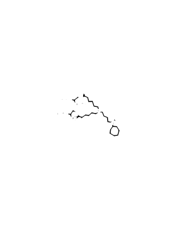 CCCCCCCCC(CCCCCC)COC(=O)CCCCCN(CCCCCC(=O)OCC(CCCCCC)CCCCCCCC)CCCCN(C(=O)O)C1CCCCCC1